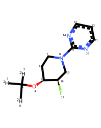 [2H]C([2H])([2H])O[C@H]1CCN(c2ncccn2)C[C@H]1F